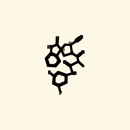 CC(C(=O)Nc1cc(F)cc(F)c1)C(=O)N1C[C@]2(C[C@H]1C#N)C(=O)Nc1ccccc12